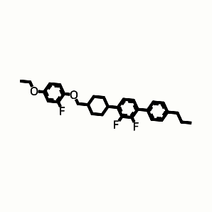 CCCc1ccc(-c2ccc(C3CCC(COc4ccc(OCC)cc4F)CC3)c(F)c2F)cc1